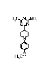 COc1ccc(N2CCC(c3nc(N)nc(N)n3)CC2)cc1